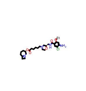 CCOc1cc(N)c(Cl)cc1C(=O)NC[C@@H]1CN(CCCCCC(=O)O[C@@H]2CCCC3CCN3C2)CCO1